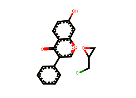 ClCC1CO1.O=c1c(-c2ccccc2)coc2cc(O)ccc12